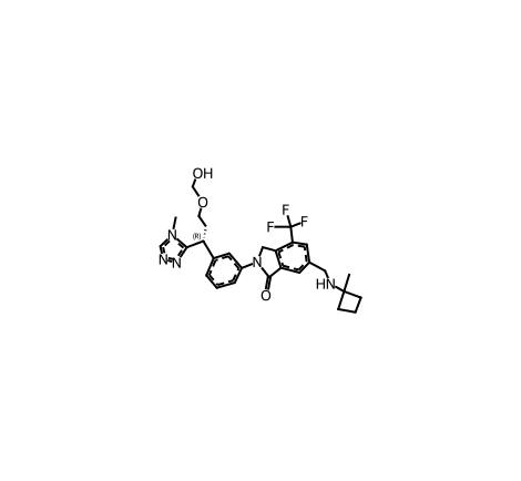 Cn1cnnc1[C@H](CCOCO)c1cccc(N2Cc3c(cc(CNC4(C)CCC4)cc3C(F)(F)F)C2=O)c1